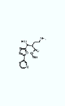 CC(C)(C)OC(=O)C(CCN)C(O)c1nnc(-c2cccnc2)o1